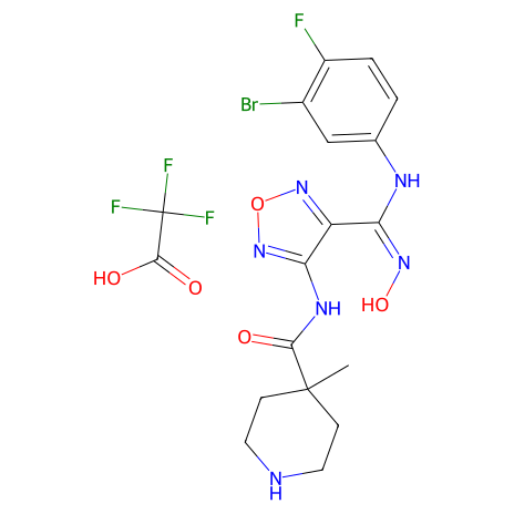 CC1(C(=O)Nc2nonc2/C(=N\O)Nc2ccc(F)c(Br)c2)CCNCC1.O=C(O)C(F)(F)F